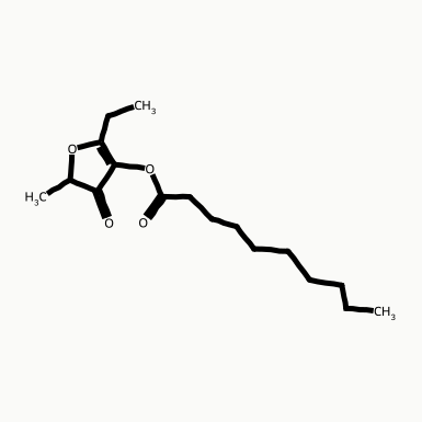 CCCCCCCCCC(=O)OC1=C(CC)OC(C)C1=O